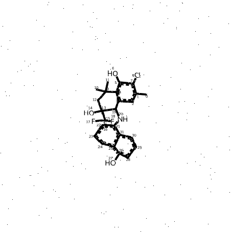 Cc1cc2c(c(O)c1Cl)C(C)(C)CC(O)(C(F)(F)F)C2Nc1cccc2c(O)cccc12